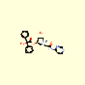 C[N+]1(CC(=O)Nc2ccncn2)CCC(OC(=O)C(O)(c2ccccc2)c2ccccc2)C1.[Br-]